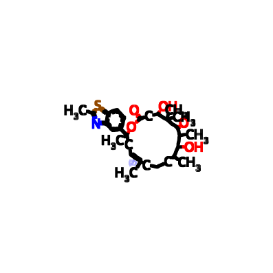 C/C1=C/CC(C)(c2ccc3sc(C)nc3c2)OC(=O)CC(O)C(C)(C)C(=O)C(C)C(O)C(C)CCC1